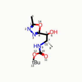 Cc1nnc(C(O)[C@H](C)NC(=O)OC(C)(C)C)o1